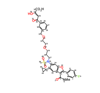 CNC(=O)c1c(-c2ccc(F)cc2)oc2cc(N(CCCOCCOCc3cccc(C(=O)C=C(O)C(=O)O)c3)S(C)(=O)=O)c(C3CC3)cc12